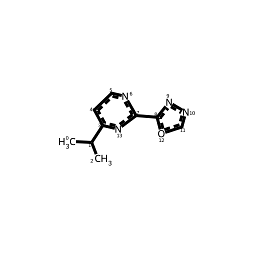 CC(C)c1ccnc(-c2nnco2)n1